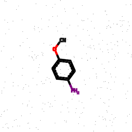 N#COc1ccc(P)cc1